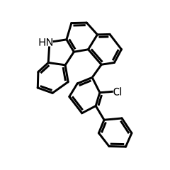 Clc1c(-c2ccccc2)cccc1-c1cccc2ccc3[nH]c4ccccc4c3c12